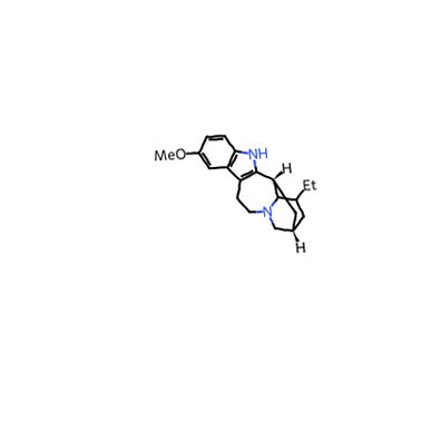 CCC1C[C@H]2C[C@H]3c4[nH]c5ccc(OC)cc5c4CCN(C2)C13